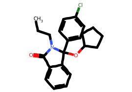 CCCN1C(=O)c2ccccc2C1(OC1CCCC1)c1ccc(Cl)cc1